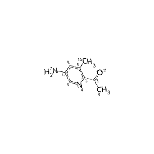 CC(=O)c1ncc(N)cc1C